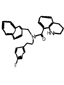 O=C(c1cccc2c1NCCC2)N(CCc1ccc(F)cc1)Cc1ccc2ccccc2c1